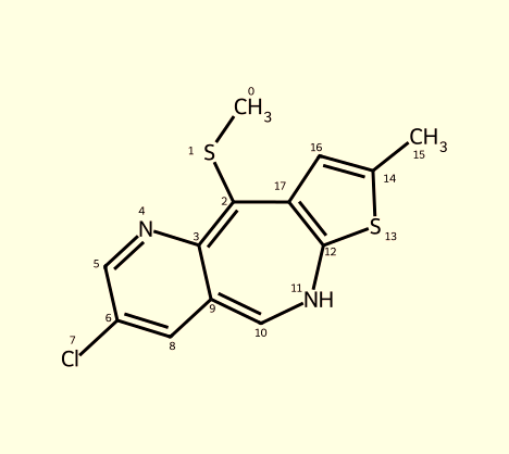 CSC1=c2ncc(Cl)cc2=CNc2sc(C)cc21